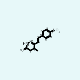 CC1CC(=O)NN=C1C=Cc1ccc([N+](=O)[O-])cc1